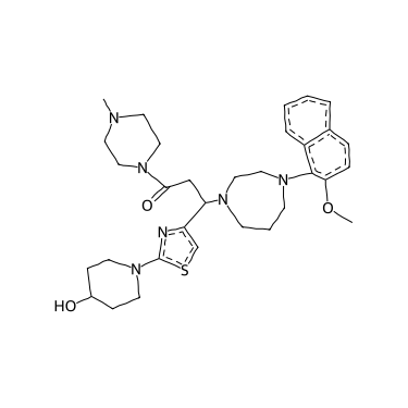 COc1ccc2ccccc2c1N1CCCN(C(CC(=O)N2CCN(C)CC2)c2csc(N3CCC(O)CC3)n2)CC1